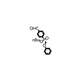 CCCCOP(=O)(COc1ccccc1)c1ccc(C=O)cc1